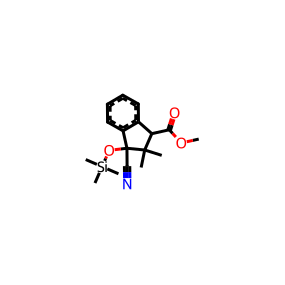 COC(=O)C1c2ccccc2C(C#N)(O[Si](C)(C)C)C1(C)C